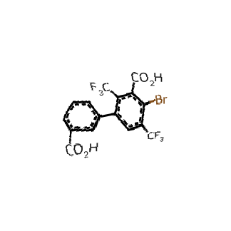 O=C(O)c1cccc(-c2cc(C(F)(F)F)c(Br)c(C(=O)O)c2C(F)(F)F)c1